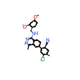 COc1ccc(CNc2nnc(C)c3cc(-c4cc(Cl)c(C)cc4C#N)ccc23)c(OC)c1